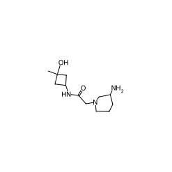 CC1(O)CC(NC(=O)CN2CCCC(N)C2)C1